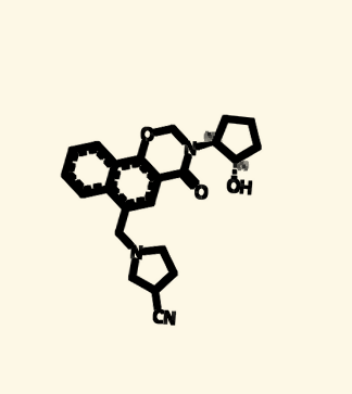 N#CC1CCN(Cc2cc3c(c4ccccc24)OCN([C@H]2CCC[C@@H]2O)C3=O)C1